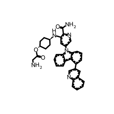 NCC(=O)O[C@H]1CC[C@H](Nc2cc(-n3c4ccccc4c4c(-c5cnc6ccccc6c5)cccc43)cnc2C(N)=O)CC1